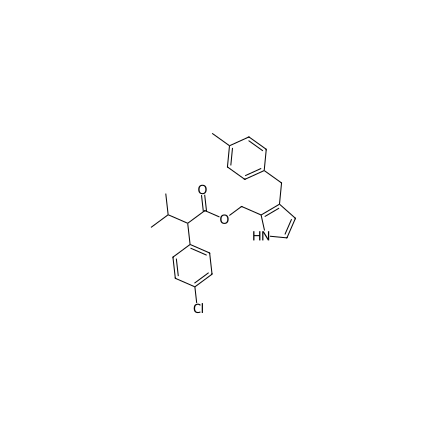 Cc1ccc(Cc2cc[nH]c2COC(=O)C(c2ccc(Cl)cc2)C(C)C)cc1